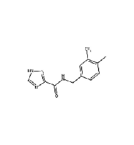 Cc1ccc(CNC(=O)c2nc[nH]n2)cc1C(F)(F)F